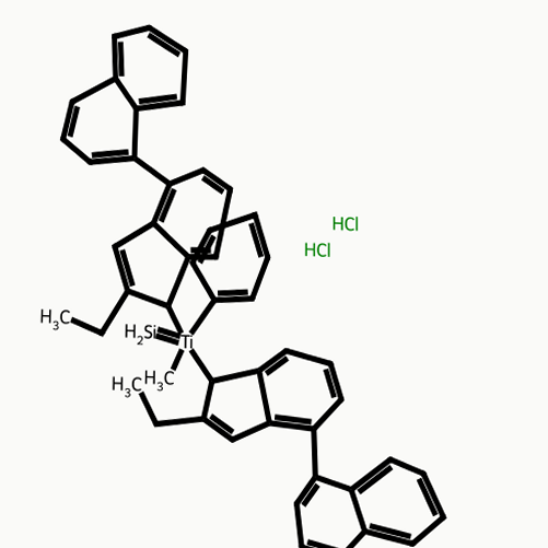 CCC1=Cc2c(-c3cccc4ccccc34)cccc2[CH]1[Ti]([CH3])(=[SiH2])([c]1ccccc1)[CH]1C(CC)=Cc2c(-c3cccc4ccccc34)cccc21.Cl.Cl